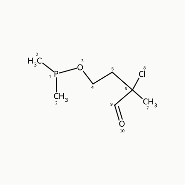 CP(C)OCCC(C)(Cl)C=O